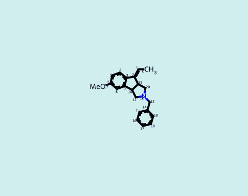 CC=C1c2ccc(OC)cc2C2CN(Cc3ccccc3)CC12